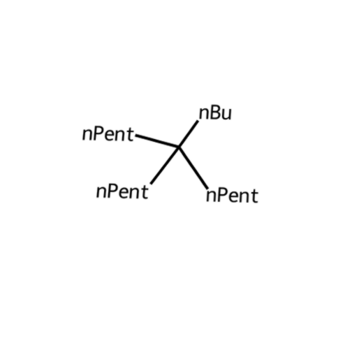 CCCCCC(CCCC)(CCCCC)CCCCC